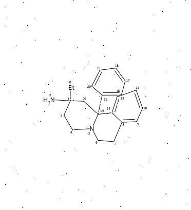 CCC1(N)CCN2CCc3ccccc3C2(c2ccccc2)C1